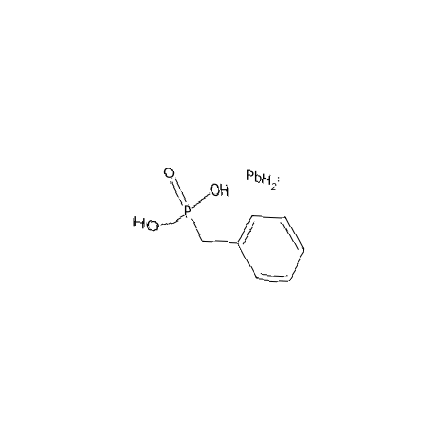 O=P(O)(O)Cc1ccccc1.[PbH2]